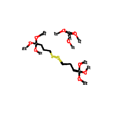 CCO[SiH](OCC)OCC.CCO[Si](CCCSSCCC[Si](OCC)(OCC)OCC)(OCC)OCC